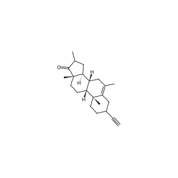 C#CC1CC[C@@]2(C)C(=C(C)C[C@@H]3[C@H]2CC[C@]2(C)C(=O)C(C)C[C@@H]32)C1